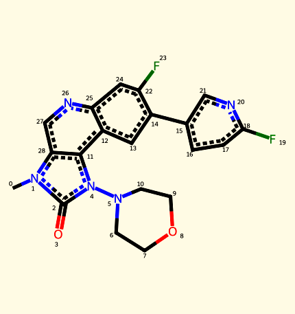 Cn1c(=O)n(N2CCOCC2)c2c3cc(-c4ccc(F)nc4)c(F)cc3ncc21